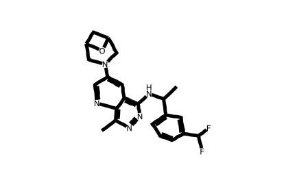 Cc1nnc(NC(C)c2cccc(C(F)F)c2)c2cc(N3CC4CC(C3)O4)cnc12